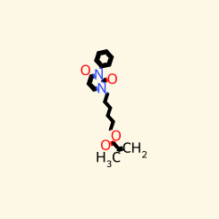 C=C(C)C(=O)OCCCCCCn1ccc(=O)n(-c2ccccc2)c1=O